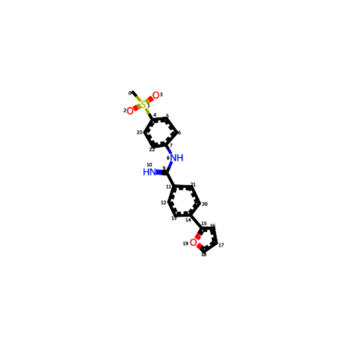 CS(=O)(=O)c1ccc(NC(=N)c2ccc(-c3ccco3)cc2)cc1